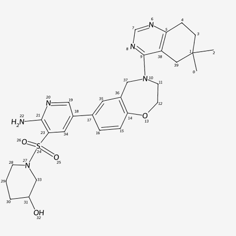 CC1(C)CCc2ncnc(N3CCOc4ccc(-c5cnc(N)c(S(=O)(=O)N6CCCC(O)C6)c5)cc4C3)c2C1